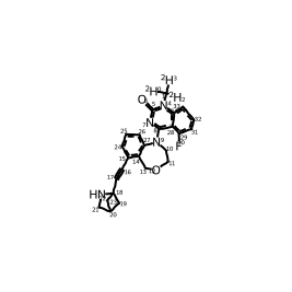 [2H]C([2H])([2H])n1c(=O)nc(N2CCOCc3c(C#CC45CC(CN4)C5)cccc32)c2c(F)cccc21